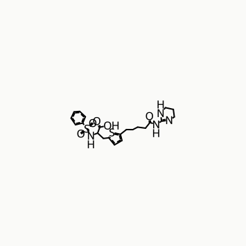 O=C(CCCCc1ccc(CC(NS(=O)(=O)c2ccccc2)C(=O)O)s1)NC1=NCCCN1